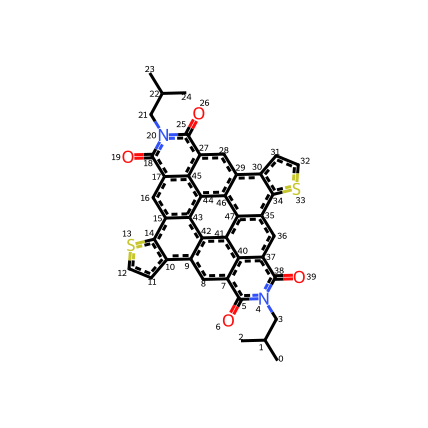 CC(C)Cn1c(=O)c2cc3c4ccsc4c4cc5c(=O)n(CC(C)C)c(=O)c6cc7c8ccsc8c8cc(c1=O)c2c1c3c4c(c65)c7c81